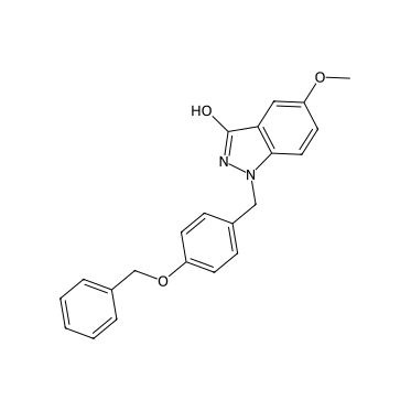 COc1ccc2c(c1)c(O)nn2Cc1ccc(OCc2ccccc2)cc1